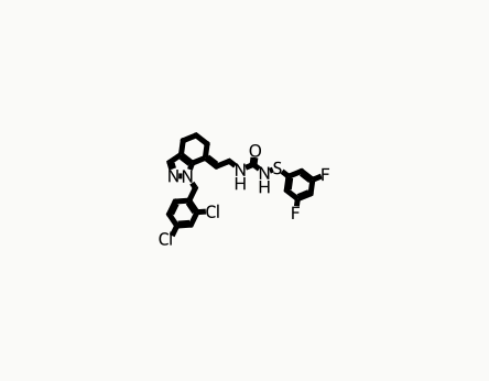 O=C(NC/C=C1\CCCc2cnn(Cc3ccc(Cl)cc3Cl)c21)NSc1cc(F)cc(F)c1